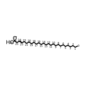 CCCCCCCCCCCCCCCCCCCCCCCC=CCC(=O)O